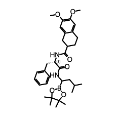 COc1cc2c(cc1OC)CC(C(=O)N[C@@H](Cc1ccccc1)C(=O)NC(CC(C)C)B1OC(C)(C)C(C)(C)O1)CC2